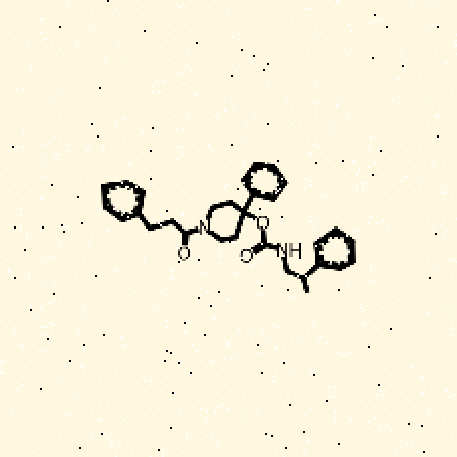 CC(CNC(=O)OC1(c2ccccc2)CCN(C(=O)CCc2ccccc2)CC1)c1ccccc1